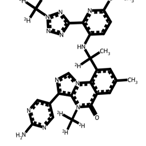 [2H]C(C)(Nc1ccc(OC)nc1-c1nnn(C([2H])([2H])[2H])n1)c1cc(C)cc2c(=O)n(C([2H])([2H])[2H])c3c(-c4cnc(N)nc4)ncn3c12